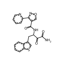 NC(=O)C(=O)C(Cc1csc2ccccc12)NC(=O)c1conc1-c1ccccn1